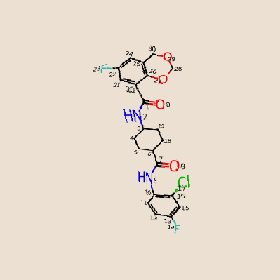 O=C(NC1CCC(C(=O)Nc2ccc(F)cc2Cl)CC1)c1cc(F)cc2c1OCOC2